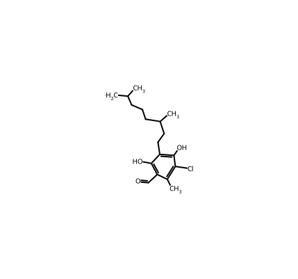 [CH2]C(C)CCCC(C)CCc1c(O)c(Cl)c(C)c(C=O)c1O